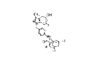 Cc1nn(Cc2ccc(NC(=O)C3[C@H]4C[C@@H]5C[C@@H](C[C@H]3C5)C4)cc2)c(C)c1CC(=O)O